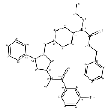 CCCN(C(=O)OCc1ccccc1)C1CCN(CC2CC(N(C)C(=O)c3cccc(F)c3)CC2c2ccccc2)CC1